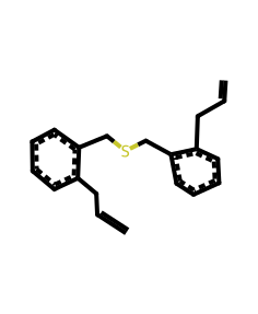 C=CCc1ccccc1CSCc1ccccc1CC=C